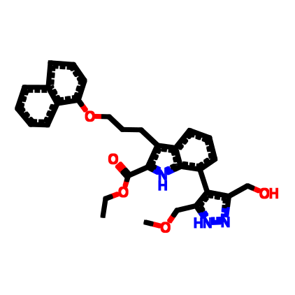 CCOC(=O)c1[nH]c2c(-c3c(CO)n[nH]c3COC)cccc2c1CCCOc1cccc2ccccc12